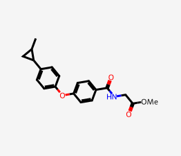 COC(=O)CNC(=O)c1ccc(Oc2ccc(C3CC3C)cc2)cc1